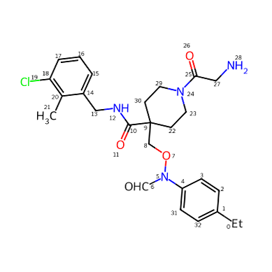 CCc1ccc(N(C=O)OCC2(C(=O)NCc3cccc(Cl)c3C)CCN(C(=O)CN)CC2)cc1